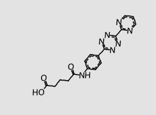 O=C(O)CCCC(=O)Nc1ccc(-c2nnc(-c3ncccn3)nn2)cc1